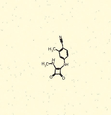 CNc1c(Nc2ccc(C#N)c(C)c2)c(=O)c1=O